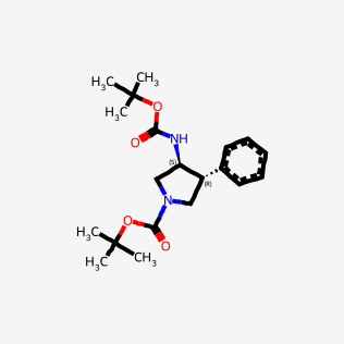 CC(C)(C)OC(=O)N[C@@H]1CN(C(=O)OC(C)(C)C)C[C@H]1c1ccccc1